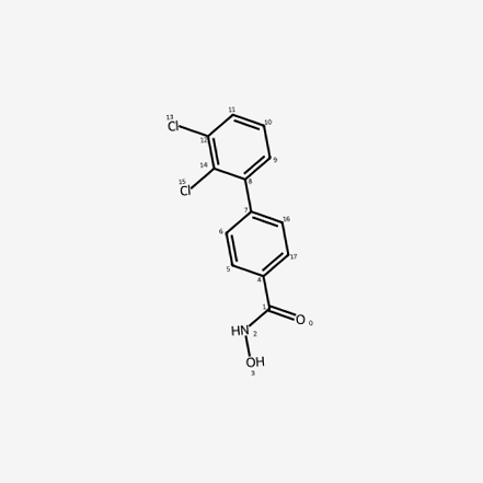 O=C(NO)c1ccc(-c2cccc(Cl)c2Cl)cc1